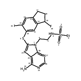 CCS(=O)(=O)NCCn1c(Sc2cc3c(cc2I)CCC3F)nc2c(N)ncnc21